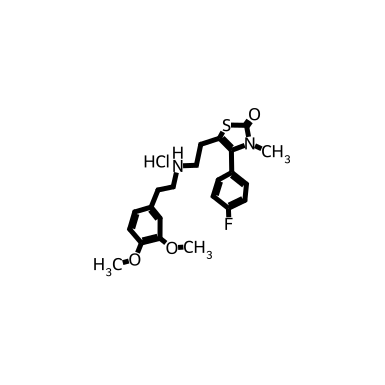 COc1ccc(CCNCCc2sc(=O)n(C)c2-c2ccc(F)cc2)cc1OC.Cl